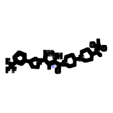 CN/C(C(=O)N1CCC(N2CCC(N(C)S(C)(=O)=O)CC2)CC1)=C(/C)C(=N)N1CCC(c2cccc(C(F)(F)F)c2)C1